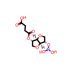 O=C(O)CCC(=O)O[C@H]1CO[C@H]2[C@@H]1OC[C@@H]2ON(O)O